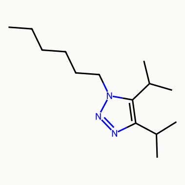 CCCCCCn1nnc(C(C)C)c1C(C)C